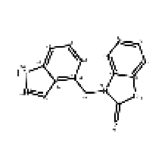 S=c1oc2ccccc2n1Cc1cccc2[nH]ncc12